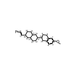 COc1ccc2c(c1)CCC(C1CCC3CC(C=CF)CCC3C1)C2